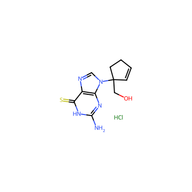 Cl.Nc1nc2c(ncn2C2(CO)C=CCC2)c(=S)[nH]1